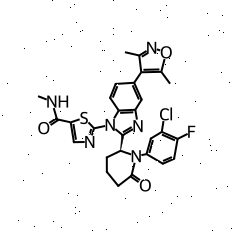 CNC(=O)c1cnc(-n2c([C@@H]3CCCC(=O)N3c3ccc(F)c(Cl)c3)nc3cc(-c4c(C)noc4C)ccc32)s1